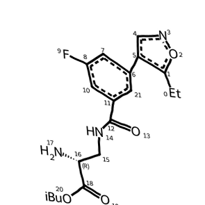 CCc1oncc1-c1cc(F)cc(C(=O)NC[C@@H](N)C(=O)OCC(C)C)c1